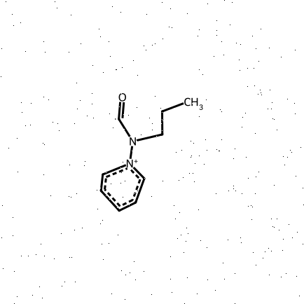 CCCN([C]=O)[n+]1ccccc1